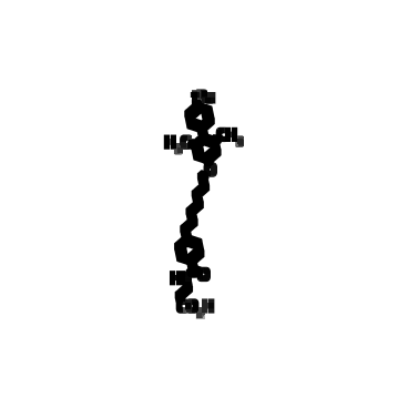 Cc1cc(OCCCCCCCc2ccc(C(=O)NCCC(=O)O)cc2)cc(C)c1-c1ccc(C(C)(C)C)cc1